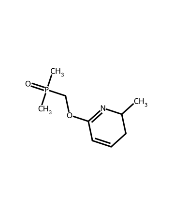 CC1CC=CC(OCP(C)(C)=O)=N1